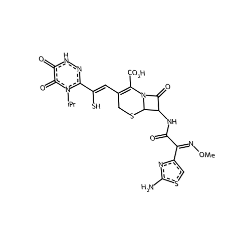 CON=C(C(=O)NC1C(=O)N2C(C(=O)O)=C(C=C(S)c3n[nH]c(=O)c(=O)n3C(C)C)CSC12)c1csc(N)n1